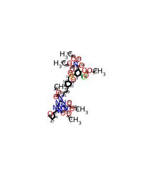 CCOC(=O)Oc1c(Cl)cc(S(=O)(=O)Cc2ccc(CCCN(C(=O)OCC)c3nc(N(C(=O)OCC)C(=O)OCC)n4nc(-c5ccco5)nc4n3)cc2)cc1C(=O)N(C(=O)OCC)C(=O)OCC